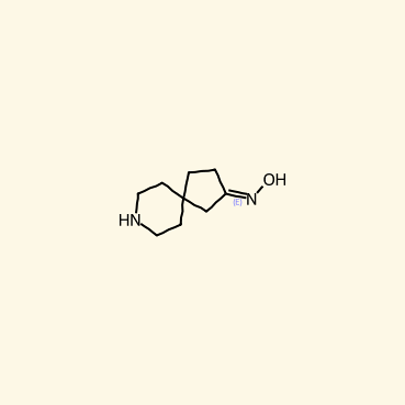 O/N=C1\CCC2(CCNCC2)C1